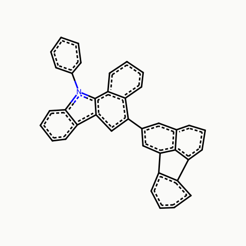 c1ccc(-n2c3ccccc3c3cc(-c4cc5c6c(cccc6c4)-c4ccccc4-5)c4ccccc4c32)cc1